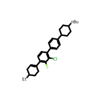 CCCCC1CCC(c2ccc(-c3ccc(C4=CCC(CC)CC4)c(F)c3Cl)cc2)CC1